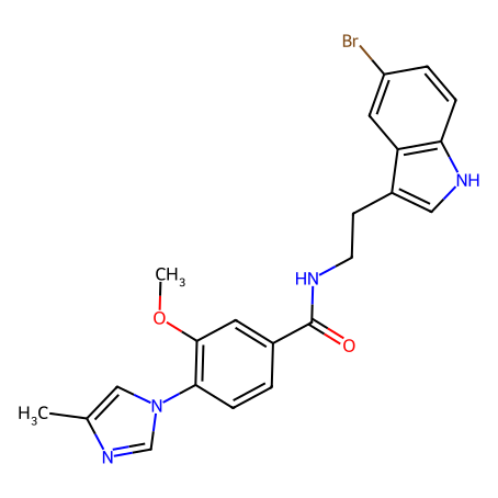 COc1cc(C(=O)NCCc2c[nH]c3ccc(Br)cc23)ccc1-n1cnc(C)c1